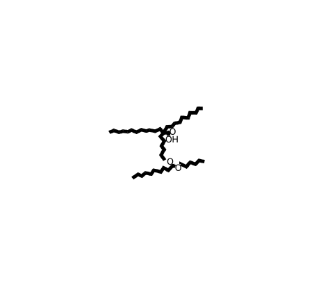 CCCCCCCCCC(=O)OCCCCCC.CCCCCCCCCCCCC(CCCCCC)(CCCCCCCCCC)C(=O)O